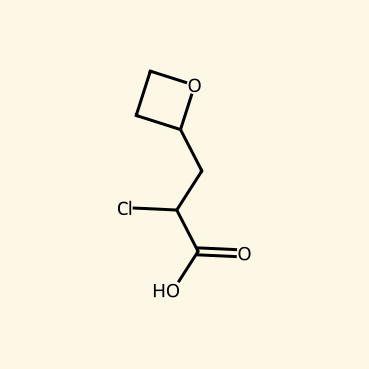 O=C(O)C(Cl)CC1CCO1